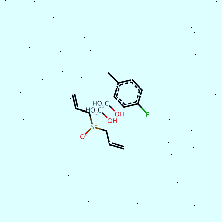 C=CC[S+]([O-])CC=C.Cc1ccc(F)cc1.O=C(O)O.O=C(O)O